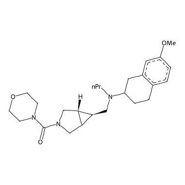 CCCN(C[C@H]1C2CN(C(=O)N3CCOCC3)C[C@@H]21)C1CCc2ccc(OC)cc2C1